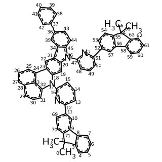 CC1(C)c2ccccc2-c2cc(-c3cccc(N4c5cc6c(cc5-c5cccc7cccc4c57)c4cc(-c5ccccc5)ccc4n6-c4cccc(-c5ccc6c(c5)-c5ccccc5C6(C)C)n4)n3)ccc21